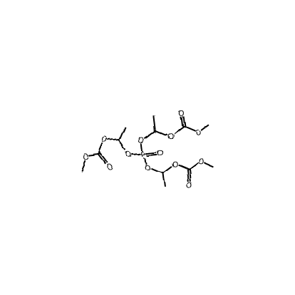 COC(=O)OC(C)OP(=O)(OC(C)OC(=O)OC)OC(C)OC(=O)OC